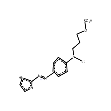 CCN(CCCOS(=O)(=O)O)c1ccc(/N=N/c2ncc[nH]2)cc1